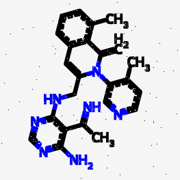 C=C1c2c(C)cccc2C=C(CNc2ncnc(N)c2C(C)=N)N1c1cnccc1C